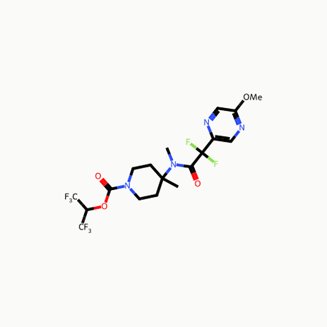 COc1cnc(C(F)(F)C(=O)N(C)C2(C)CCN(C(=O)OC(C(F)(F)F)C(F)(F)F)CC2)cn1